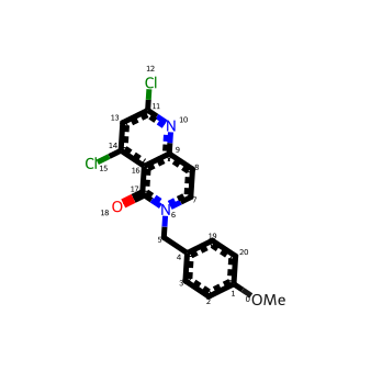 COc1ccc(Cn2ccc3nc(Cl)cc(Cl)c3c2=O)cc1